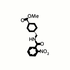 COC(=O)[C@H]1CC[C@H](CNC(=O)c2ccccc2[N+](=O)[O-])CC1